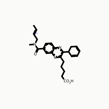 C/C=C/CN(C)C(=O)c1ccc2nc(C3C=CC=CC3)c(CCCCC(=O)O)nc2c1